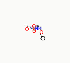 CCC(=O)/C=C/S(=O)(=O)N[C@H](C)/C=C\COCc1ccccc1